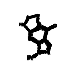 CC(C)n1ncc2c(=O)n3c(nc21)NCC3